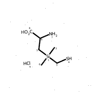 C[Si](C)(CS)CC(N)C(=O)O.Cl